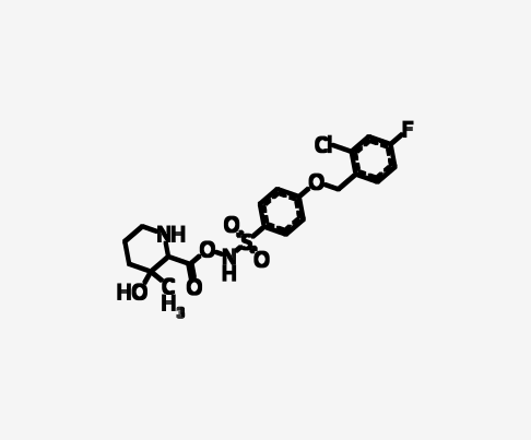 CC1(O)CCCNC1C(=O)ONS(=O)(=O)c1ccc(OCc2ccc(F)cc2Cl)cc1